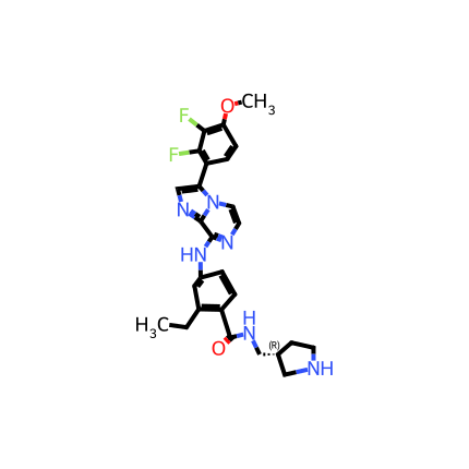 CCc1cc(Nc2nccn3c(-c4ccc(OC)c(F)c4F)cnc23)ccc1C(=O)NC[C@@H]1CCNC1